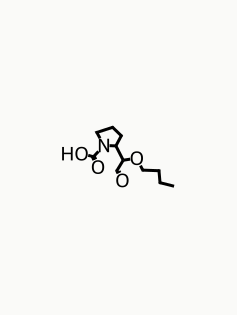 CCCCOC(C=O)C1CCCN1C(=O)O